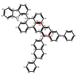 c1ccc(-c2ccc(N(c3cccc(-c4ccccc4N(c4cccc(-c5ccccc5)c4)c4cccc5c4oc4ccccc45)c3)c3ccc4cc(-c5ccccc5)ccc4c3)cc2)cc1